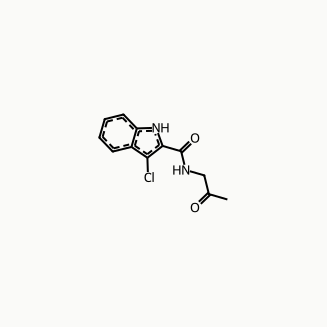 CC(=O)CNC(=O)c1[nH]c2ccccc2c1Cl